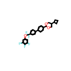 Fc1cc(OC(F)(F)c2ccc(-c3ccc(C4OCC(C5CCC5)CO4)cc3)cc2)cc(F)c1F